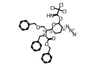 [N-]=[N+]=N[C@@H]1CC[C@@H]([C@H](COCc2ccccc2)N(Cc2ccccc2)C(=O)OCc2ccccc2)OC1OC(=N)C(Cl)(Cl)Cl